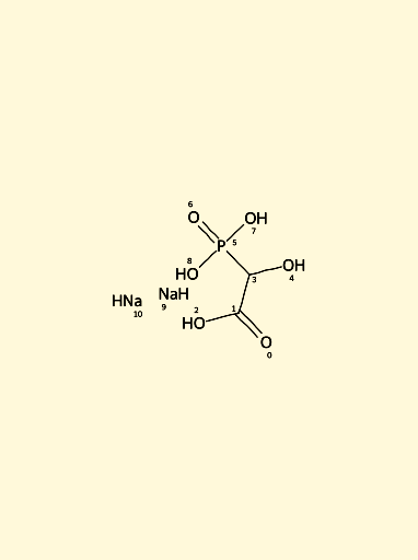 O=C(O)C(O)P(=O)(O)O.[NaH].[NaH]